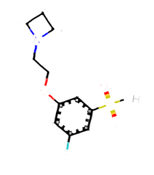 CS(=O)(=O)c1cc(F)cc(OCCN2CCC2)c1